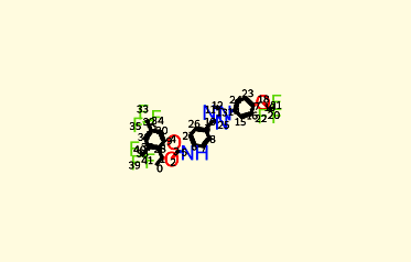 CC(OC(=O)Nc1ccc(-c2ncn(-c3ccc(OC(F)(F)F)cc3)n2)cc1)c1ccc(C(F)(F)F)cc1C(F)(F)F